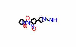 CNCCN1CC=C(c2ccc(NC(=O)c3ccccc3OC)c(N=O)c2)CC1